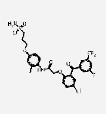 Cc1cc(OCCCS(N)(=O)=O)ccc1NC(=O)COc1ccc(Cl)cc1C(=O)c1cc(F)cc(C(F)(F)F)c1